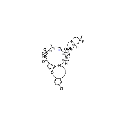 CO[C@]1(CN2CCN3CCC(F)(F)C[C@@H]3C2)/C=C/C[C@H](C)[C@@H](C)S(=O)(=O)NC(=O)c2ccc3c(c2)N(CCCCc2cc(Cl)ccc2CO3)C[C@@H]2CC[C@H]21